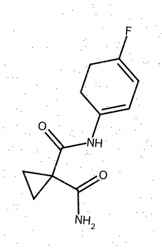 NC(=O)C1(C(=O)NC2=CC=C(F)CC2)CC1